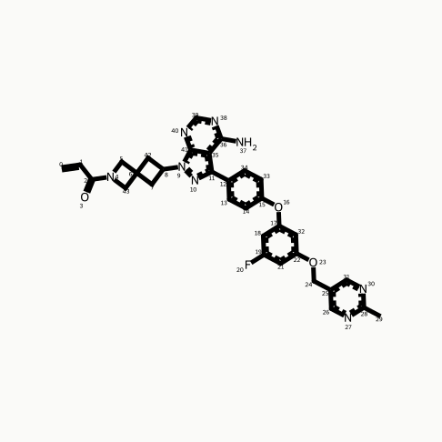 C=CC(=O)N1CC2(CC(n3nc(-c4ccc(Oc5cc(F)cc(OCc6cnc(C)nc6)c5)cc4)c4c(N)ncnc43)C2)C1